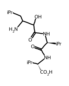 CC(C)CC(N)C(O)C(=O)N[C@H](C(=O)N[C@H](C(=O)O)C(C)C)C(C)C